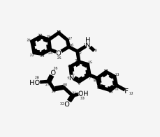 CNC(c1cncc(-c2ccc(F)cc2)c1)C1CCc2ccccc2O1.O=C(O)C=CC(=O)O